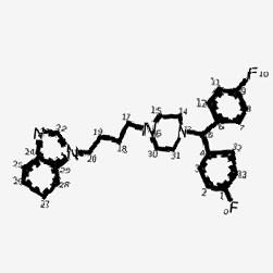 Fc1ccc(C(c2ccc(F)cc2)N2CCN(CCCCn3cnc4ccccc43)CC2)cc1